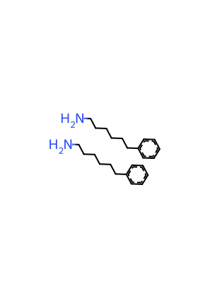 NCCCCCCc1ccccc1.NCCCCCCc1ccccc1